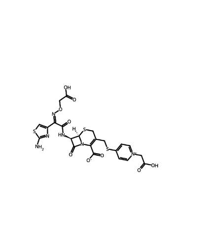 Nc1nc(/C(=N/OCC(=O)O)C(=O)N[C@@H]2C(=O)N3C(C(=O)[O-])=C(CSc4cc[n+](CC(=O)O)cc4)CS[C@H]23)cs1